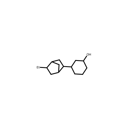 CCC1CC2CC1CC2C1CCCC(O)C1